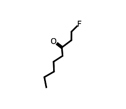 CCCCCC(=O)CCF